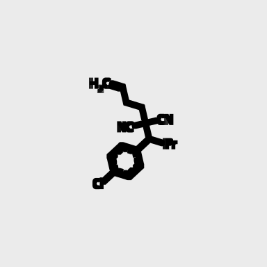 C=CCCC(C#N)(C#N)C(c1ccc(Cl)cc1)C(C)C